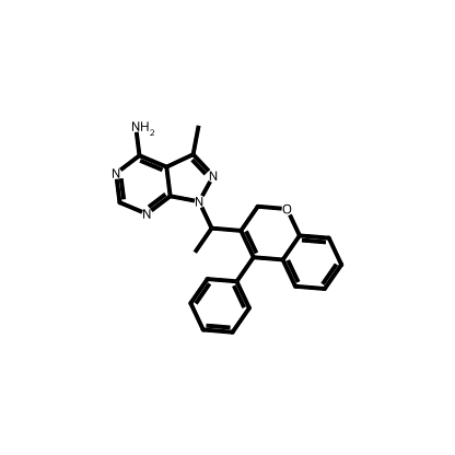 Cc1nn(C(C)C2=C(c3ccccc3)c3ccccc3OC2)c2ncnc(N)c12